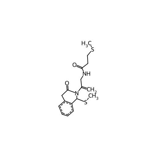 C=C(CNC(=O)CCSC)N1C(=O)Cc2ccccc2C1SC